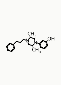 C[C@H]1CN(c2cccc(O)c2)[C@@H](C)CN1CCCc1ccccc1